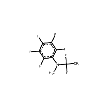 CN(c1c(F)c(F)c(F)c(F)c1F)C(F)(F)C(F)(F)F